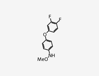 CONc1ccc(Oc2ccc(F)c(F)c2)cc1